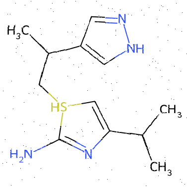 CC(C)C1=C[SH](CC(C)c2cn[nH]c2)C(N)=N1